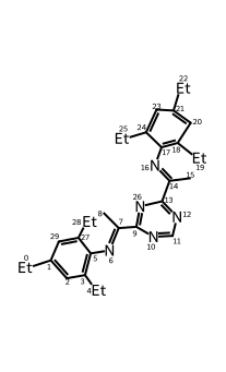 CCc1cc(CC)c(N=C(C)c2ncnc(C(C)=Nc3c(CC)cc(CC)cc3CC)n2)c(CC)c1